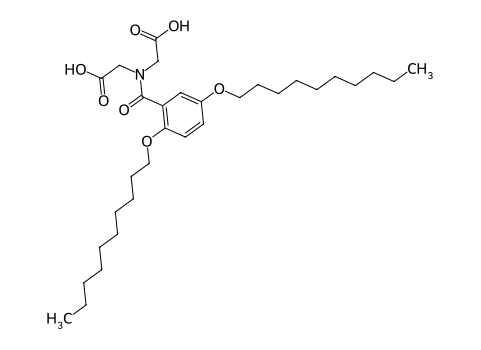 CCCCCCCCCCOc1ccc(OCCCCCCCCCC)c(C(=O)N(CC(=O)O)CC(=O)O)c1